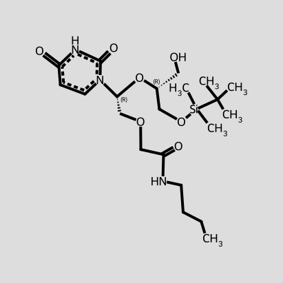 CCCCNC(=O)COC[C@@H](O[C@H](CO)CO[Si](C)(C)C(C)(C)C)n1ccc(=O)[nH]c1=O